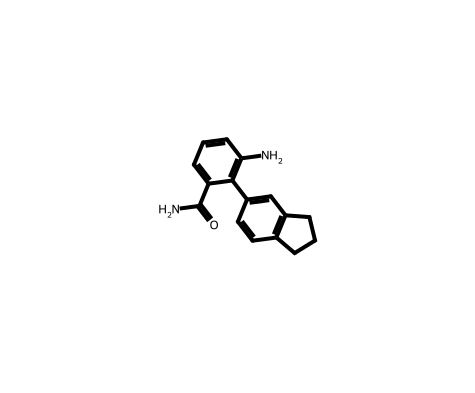 NC(=O)c1cccc(N)c1-c1ccc2c(c1)CCC2